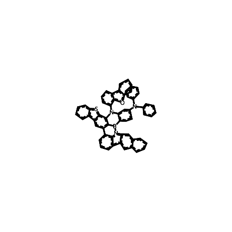 c1ccc(N(c2ccccc2)c2ccc3c(c2)N(c2cccc4c2oc2ccccc24)c2c4c(cc5c2sc2ccccc25)-c2cccc5c6cc7ccccc7cc6n(c25)B34)cc1